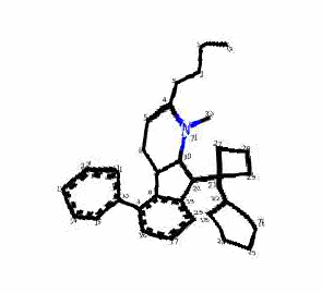 CCCCC1CCC2c3c(-c4ccccc4)cccc3C(C3(C4CCCC4)CCC3)C2N1C